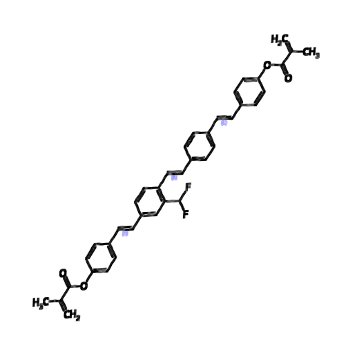 C=C(C)C(=O)Oc1ccc(/C=C/c2ccc(/C=C/c3ccc(/C=C/c4ccc(OC(=O)C(=C)C)cc4)cc3C(F)F)cc2)cc1